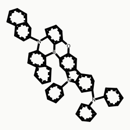 c1ccc(N(c2ccccc2)c2ccc3c4cc5c(cc4n(-c4ccccc4)c3c2)B2c3c(cccc3N(c3ccc4ccccc4c3)c3ccc4ccccc4c32)O5)cc1